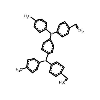 C=Cc1ccc(N(c2ccc(C)cc2)c2ccc(N(c3ccc(C)cc3)c3ccc(C=C)cc3)cc2)cc1